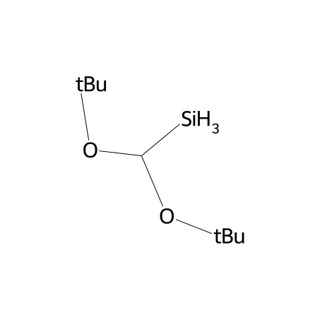 CC(C)(C)OC([SiH3])OC(C)(C)C